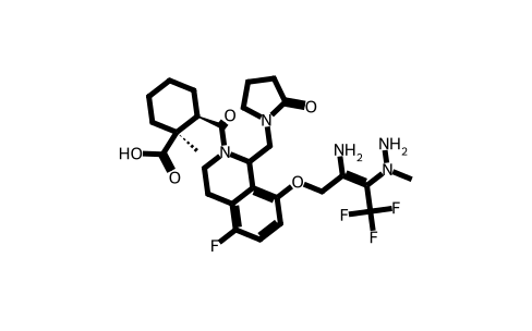 CN(N)/C(=C(\N)COc1ccc(F)c2c1C(CN1CCCC1=O)N(C(=O)[C@@H]1CCCC[C@]1(C)C(=O)O)CC2)C(F)(F)F